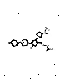 CN(C)[C@@H]1CCN(c2cc(N3CCN(c4ccc(F)cc4)CC3)c(F)cc2/C=N/NC(N)=S)C1